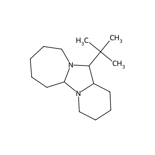 CC(C)(C)C1C2CCCCN2C2CCCCCN21